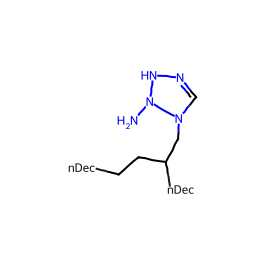 CCCCCCCCCCCCC(CCCCCCCCCC)CN1C=NNN1N